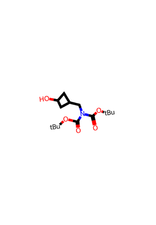 CC(C)(C)OC(=O)N(CC1CC(O)C1)C(=O)OC(C)(C)C